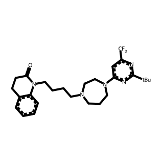 CC(C)(C)c1nc(N2CCCN(CCCCN3C(=O)CCc4ccccc43)CC2)cc(C(F)(F)F)n1